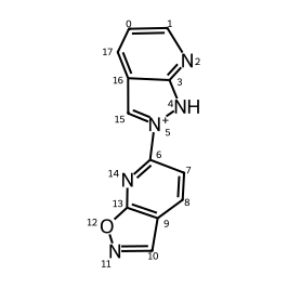 c1cnc2[nH][n+](-c3ccc4cnoc4n3)cc2c1